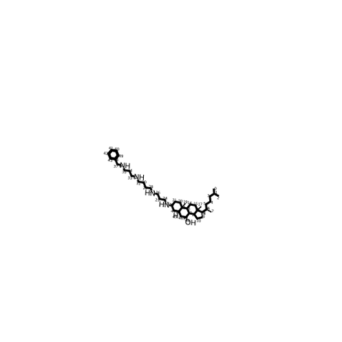 CC(C)CCC[C@@H](C)[C@H]1CCC2C3C(CC[C@@]21C)[C@@]1(C)CC[C@H](NCCCNCCCCNCCCNCc2ccccc2)C[C@@H]1C[C@H]3O